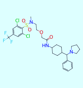 CN(CCOCC(=O)NC1CCC(C(c2ccccc2)N2CCCC2)CC1)S(=O)(=O)c1c(Cl)cc(C(F)(F)F)cc1Cl